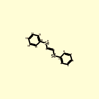 C(=C[Se]c1ccccc1)[Se]c1ccccc1